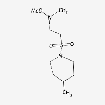 CON(C)CCS(=O)(=O)N1CCC(C)CC1